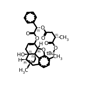 Cc1ccc2c3c1O[C@H]1C(OC(=O)[C@@H](OC(=O)C[C@H](C)C(=O)OC(C)(C)C)c4ccccc4)=CC[C@@]4(O)[C@@H](C2)N(C)CC[C@]314